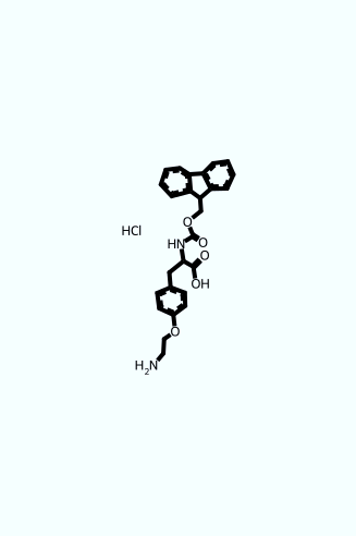 Cl.NCCOc1ccc(CC(NC(=O)OCC2c3ccccc3-c3ccccc32)C(=O)O)cc1